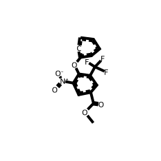 COC(=O)c1cc([N+](=O)[O-])c(Oc2ccccc2)c(C(F)(F)F)c1